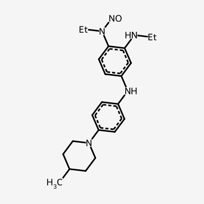 CCNc1cc(Nc2ccc(N3CCC(C)CC3)cc2)ccc1N(CC)N=O